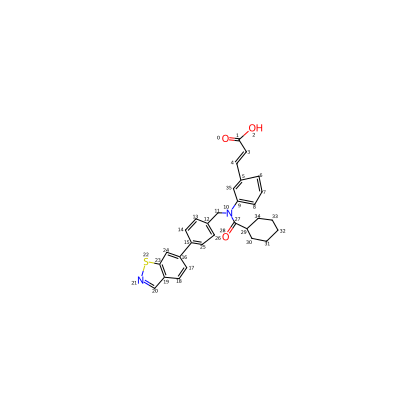 O=C(O)C=Cc1cccc(N(Cc2ccc(-c3ccc4cnsc4c3)cc2)C(=O)C2CCCCC2)c1